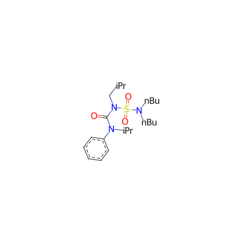 CCCCN(CCCC)S(=O)(=O)N(CC(C)C)C(=O)N(c1ccccc1)C(C)C